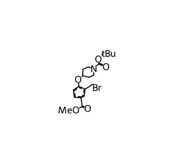 COC(=O)c1ccc(OC2CCN(C(=O)OC(C)(C)C)CC2)c(CBr)c1